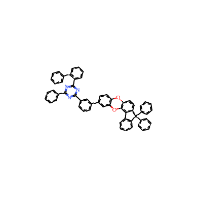 c1ccc(-c2nc(-c3cccc(-c4ccc5c(c4)Oc4c(ccc6c4-c4ccccc4C6(c4ccccc4)c4ccccc4)O5)c3)nc(-c3ccccc3-c3ccccc3)n2)cc1